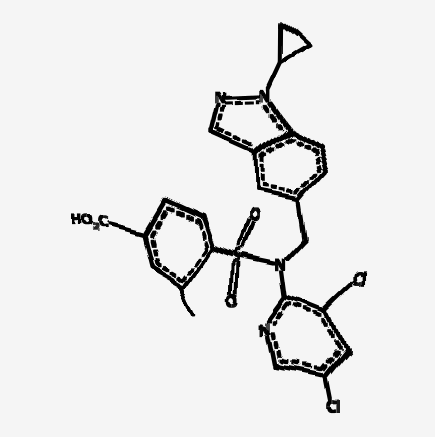 Cc1cc(C(=O)O)ccc1S(=O)(=O)N(Cc1ccc2c(cnn2C2CC2)c1)c1ncc(Cl)cc1Cl